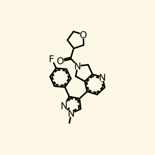 Cn1cc(-c2ccnc3c2CN(C(=O)C2CCOC2)C3)c(-c2ccc(F)cc2)n1